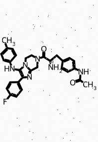 CC(=O)Nc1ccc(C[C@H](N)C(=O)N2CCn3c(nc(-c4ccc(F)cc4)c3Nc3ccc(C)cc3)C2)cc1